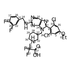 CCOc1cc(Cl)c(-c2nc3cnc(NCc4ccc(F)c(F)c4)nc3n2C[C@@H]2CCCNC2)c(Cl)c1.O=C(O)C(F)(F)F